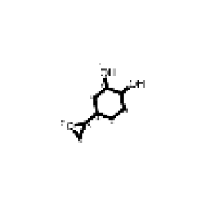 OC1CCC(C2CO2)CC1O